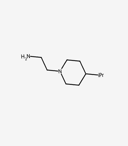 CC(C)C1CCN(CCN)CC1